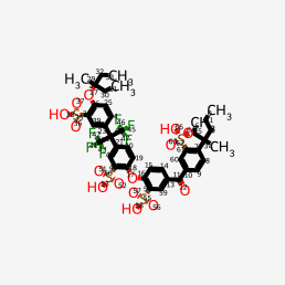 CCCC(C)(CC)c1ccc(C(=O)c2ccc(Oc3ccc(C(c4ccc(OC(C)(CC)CC)c(S(=O)(=O)O)c4)(C(F)(F)F)C(F)(F)F)cc3S(=O)(=O)O)c(S(=O)(=O)O)c2)cc1S(=O)(=O)O